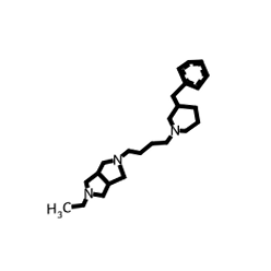 CCN1CC2CN(CCCCN3CCCC(Cc4ccccc4)C3)CC2C1